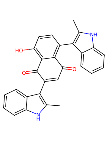 Cc1[nH]c2ccccc2c1C1=CC(=O)c2c(-c3c(C)[nH]c4ccccc34)ccc(O)c2C1=O